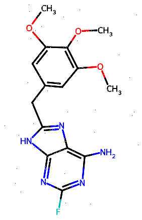 COc1cc(Cc2nc3c(N)nc(F)nc3[nH]2)cc(OC)c1OC